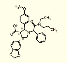 CCCN(CC)C(=O)C(c1ccccc1)N1C[C@H](c2ccc3c(c2)OCO3)[C@H](C(=O)O)[C@H]1c1ccc(OC)cc1